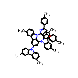 Cc1ccc(-c2cc(-c3ccc(C)cc3)nc(-n3c4ccc(C)cc4c4cc(-n5c6ccc(C)cc6c6cc(C)ccc65)cc(-n5c6ccc(C)cc6c6cc(C)ccc65)c43)c2)cc1